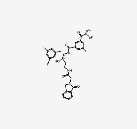 CCCN(CCC)C(=O)c1cc(C)cc(C(=O)N[C@@H](Cc2cc(F)cc(F)c2)[C@H](O)CCNC(=O)CN2Cc3ccccc3C2=O)c1